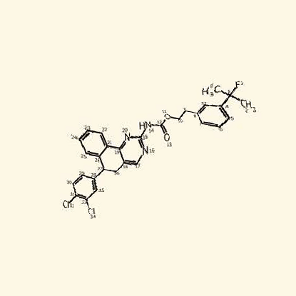 CC(C)(F)c1cccc(CCOC(=O)Nc2ncc3c(n2)-c2ccccc2C(c2ccc(Cl)c(Cl)c2)C3)c1